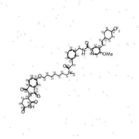 COc1cnc(C(=O)NCc2cccc(CC(=O)N(C)CCCCCCCOc3ccc4c(c3)C(=O)N(C3CCC(=O)NC3=O)C4=O)c2)cc1C=CC1CCC(C(F)(F)F)CC1